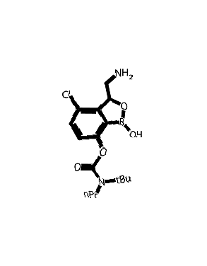 CCCN(C(=O)Oc1ccc(Cl)c2c1B(O)OC2CN)C(C)(C)C